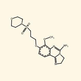 COc1c(OCCCS(=O)(=O)N2CCOCC2)ccc2c1N=C(N)N1CCN=C21